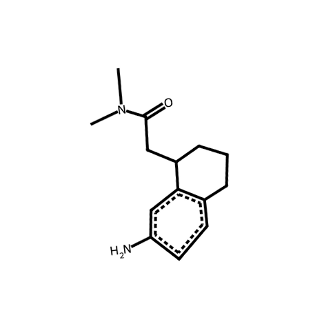 CN(C)C(=O)CC1CCCc2ccc(N)cc21